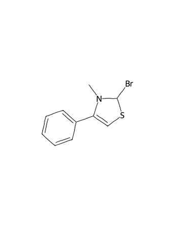 CN1C(c2ccccc2)=CSC1Br